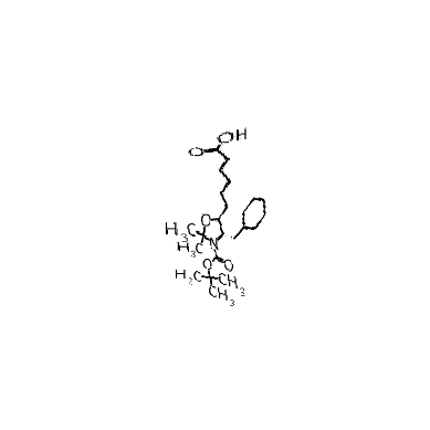 CC(C)(C)OC(=O)N1[C@@H](CC2CCCCC2)[C@H](CCCCCC(=O)O)OC1(C)C